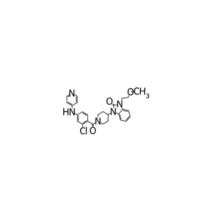 COCCn1c(=O)n(C2CCN(C(=O)c3ccc(Nc4ccncc4)cc3Cl)CC2)c2ccccc21